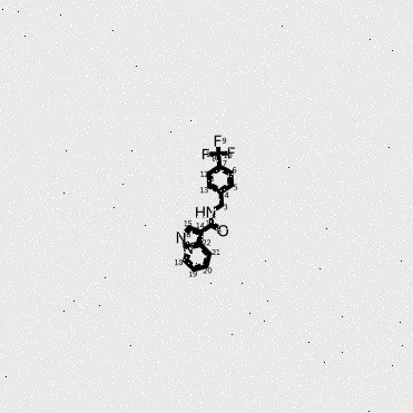 O=C(NCc1ccc(C(F)(F)F)cc1)c1cnn2ccccc12